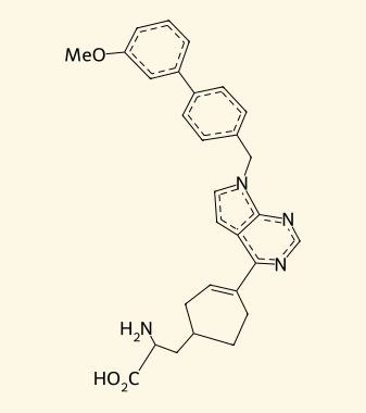 COc1cccc(-c2ccc(Cn3ccc4c(C5=CCC(CC(N)C(=O)O)CC5)ncnc43)cc2)c1